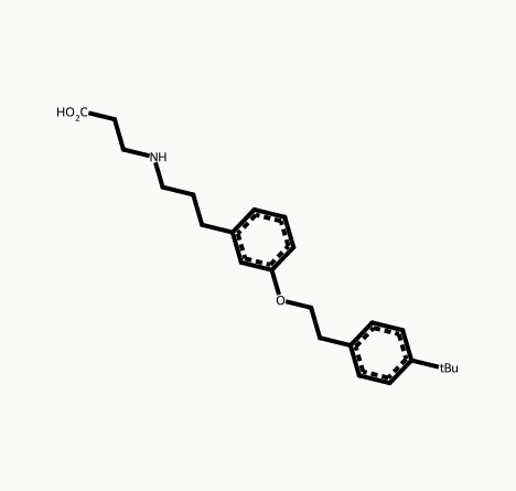 CC(C)(C)c1ccc(CCOc2cccc(CCCNCCC(=O)O)c2)cc1